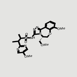 COC[C@H]1COc2c(OC)cccc2-c2nnc(NS(=O)(=O)C(C)C(C)c3ncc(OC)cn3)n21